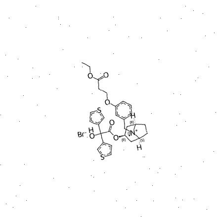 CCOC(=O)CCOc1cccc(C[N@+]2(C)[C@@H]3CC[C@H]2C[C@@H](OC(=O)C(O)(c2ccsc2)c2ccsc2)C3)c1.[Br-]